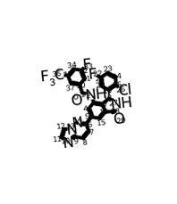 O=C(Nc1cc(-c2ccc3nccn3n2)cc2c1[C@@H](c1cc(F)ccc1Cl)NC2=O)c1cc(F)cc(C(F)(F)F)c1